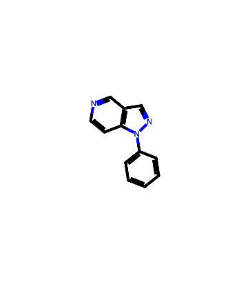 c1ccc(-n2ncc3cnccc32)cc1